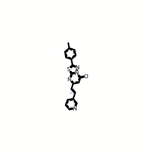 Cc1ccc(-c2nn3c(=O)cc(/C=C/c4cccnc4)nc3s2)cc1